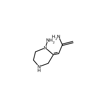 C=C(N)/C=C1/CNCCN1N